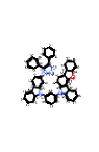 c1ccc(-c2nnn(-c3ccc4c5ccccc5n(-c5cccc(-n6c7ccccc7c7c8oc9ccccc9c8ccc76)c5)c4c3)c2-c2ccccc2)cc1